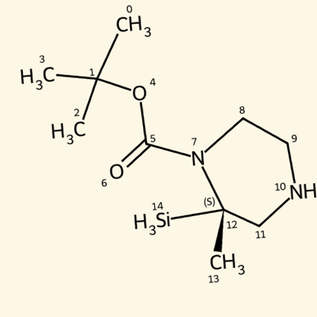 CC(C)(C)OC(=O)N1CCNC[C@]1(C)[SiH3]